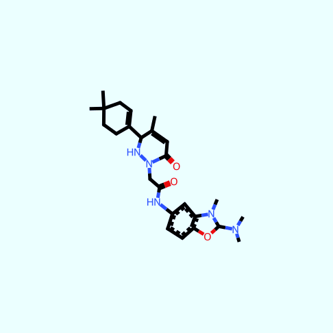 CC1=CC(=O)N(CC(=O)Nc2ccc3c(c2)N(C)C(N(C)C)O3)NC1C1=CCC(C)(C)CC1